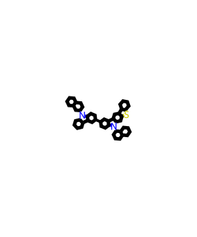 c1ccc2cc(-n3c4ccccc4c4cc(-c5ccc6c(c5)c5cc7c(cc5n6-c5cccc6ccccc56)sc5ccccc57)ccc43)ccc2c1